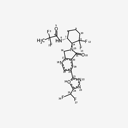 CC(F)(F)C(=O)N[C@@H]1CCCC(F)(F)[C@H]1N1Cc2ncc(-c3nnc(C(F)F)o3)cc2C1=O